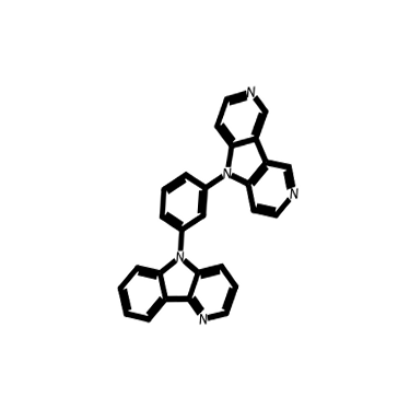 c1cc(-n2c3ccncc3c3cnccc32)cc(-n2c3ccccc3c3ncccc32)c1